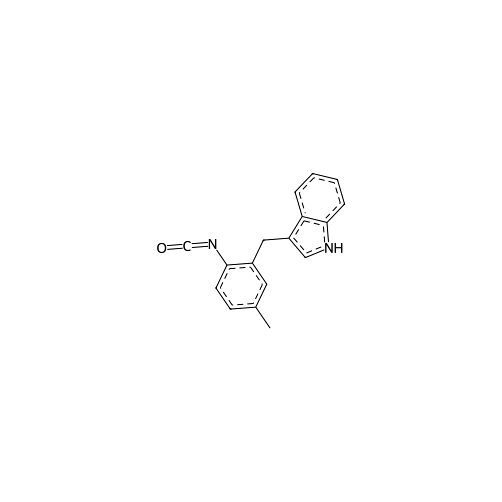 Cc1ccc(N=C=O)c(Cc2c[nH]c3ccccc23)c1